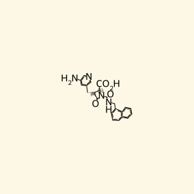 Nc1cncc(C[C@H]2C(=O)N(C(=O)NCc3cccc4ccccc34)[C@@H]2C(=O)O)c1